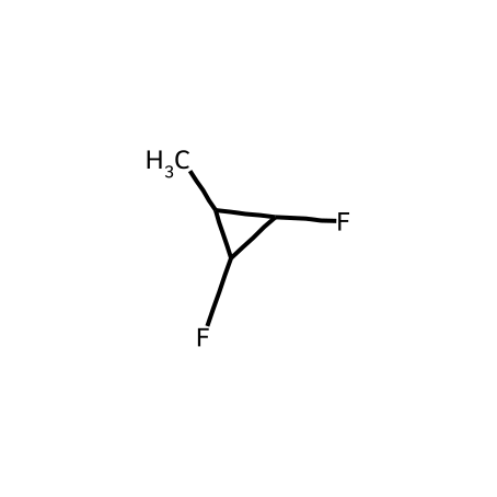 CC1C(F)C1F